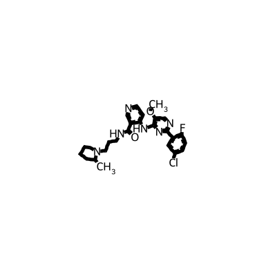 COc1cnc(-c2cc(Cl)ccc2F)nc1Nc1ccncc1C(=O)NCCCN1CCCCC1C